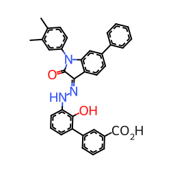 Cc1ccc(N2C(=O)C(=NNc3cccc(-c4cccc(C(=O)O)c4)c3O)c3ccc(-c4ccccc4)cc32)cc1C